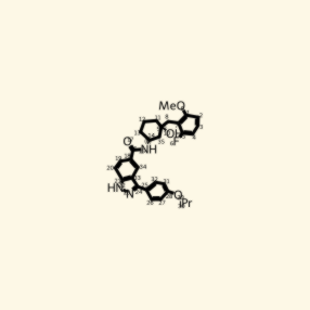 COc1cccc(F)c1C[C@@]1(O)CCC[C@@H](NC(=O)c2ccc3[nH]nc(-c4ccc(OC(C)C)cc4)c3c2)C1